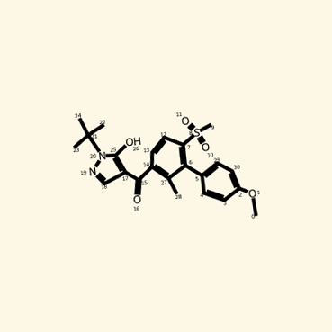 COc1ccc(-c2c(S(C)(=O)=O)ccc(C(=O)c3cnn(C(C)(C)C)c3O)c2C)cc1